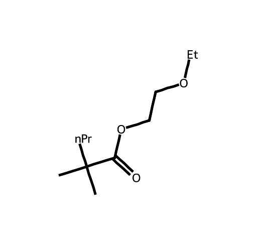 CCCC(C)(C)C(=O)OCCOCC